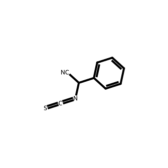 N#CC(N=C=S)c1ccccc1